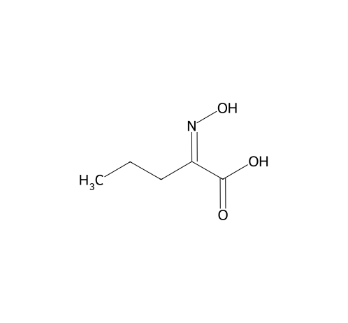 CCCC(=NO)C(=O)O